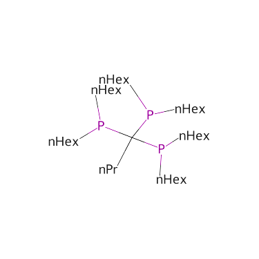 CCCCCCP(CCCCCC)C(CCC)(P(CCCCCC)CCCCCC)P(CCCCCC)CCCCCC